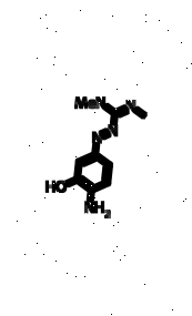 C/N=C(\N=Nc1ccc(N)c(O)c1)NC